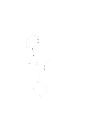 CN(CCC1CCNCC1)[C@@H]1C[C@H]1c1ccccc1